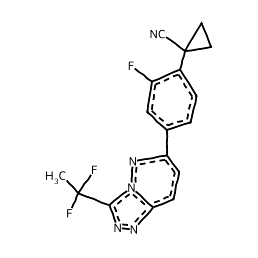 CC(F)(F)c1nnc2ccc(-c3ccc(C4(C#N)CC4)c(F)c3)nn12